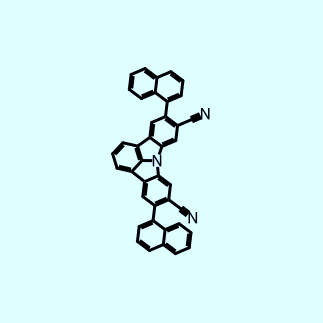 N#Cc1cc2c(cc1-c1cccc3ccccc13)c1cccc3c4cc(-c5cccc6ccccc56)c(C#N)cc4n2c13